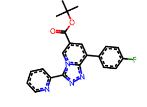 CC(C)(C)OC(=O)c1cc(-c2ccc(F)cc2)c2nnc(-c3ccccn3)n2c1